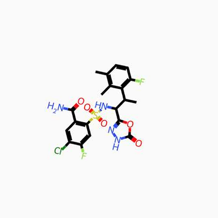 Cc1ccc(F)c(C(C)C(NS(=O)(=O)c2cc(F)c(Cl)cc2C(N)=O)c2n[nH]c(=O)o2)c1C